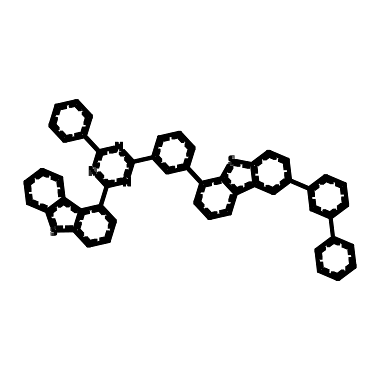 c1ccc(-c2cccc(-c3ccc4sc5c(-c6cccc(-c7nc(-c8ccccc8)nc(-c8cccc9sc%10ccccc%10c89)n7)c6)cccc5c4c3)c2)cc1